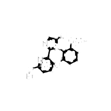 CCOc1cccc(-c2ncc(Cl)n2-c2c(OC)cccc2OC)n1